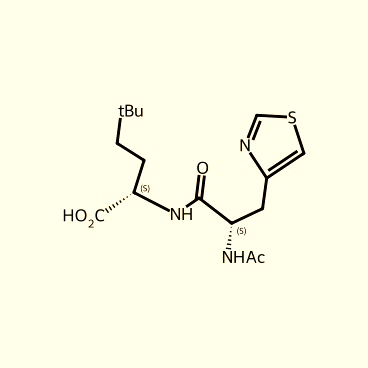 CC(=O)N[C@@H](Cc1cscn1)C(=O)N[C@@H](CCC(C)(C)C)C(=O)O